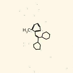 Cc1ccccc1C=C(C1CCCCC1)C1CCCCC1